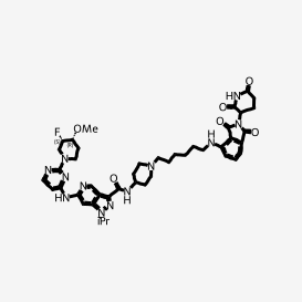 CO[C@@H]1CCN(c2nccc(Nc3cc4c(cn3)c(C(=O)NC3CCN(CCCCCCNc5cccc6c5C(=O)N(C5CCC(=O)NC5=O)C6=O)CC3)nn4C(C)C)n2)C[C@@H]1F